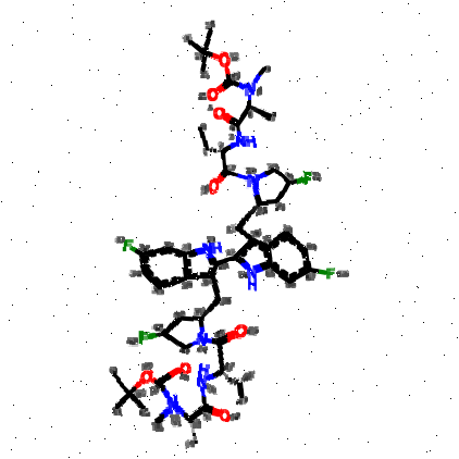 CC[C@H](NC(=O)[C@H](C)N(C)C(=O)OC(C)(C)C)C(=O)N1C[C@@H](F)C[C@H]1Cc1c(-c2[nH]c3cc(F)ccc3c2C[C@@H]2C[C@H](F)CN2C(=O)[C@H](CC)NC(=O)[C@H](C)N(C)C(=O)OC(C)(C)C)[nH]c2cc(F)ccc12